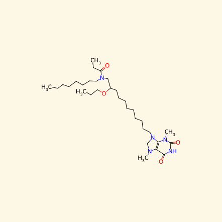 CCCCCCCCN(CC(CCCCCCCCCN1CN(C)c2c1n(C)c(=O)[nH]c2=O)OCCC)C(=O)CC